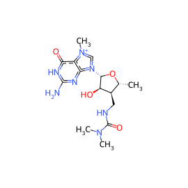 C[C@H]1O[C@@H](n2c[n+](C)c3c(=O)[nH]c(N)nc32)[C@H](O)[C@@H]1CNC(=O)N(C)C